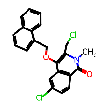 Cn1c(CCl)c(OCc2cccc3ccccc23)c2cc(Cl)ccc2c1=O